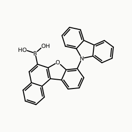 OB(O)c1cc2ccccc2c2c1oc1c(-n3c4ccccc4c4ccccc43)cccc12